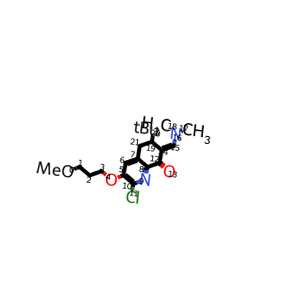 COCCCOc1cc2c(nc1Cl)C(=O)C(=CN(C)C)C(C(C)(C)C)C2